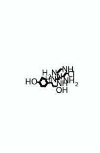 N=C(NC(CCO)c1ccc(O)cc1)N1C(N)=CNC(Cl)=C1N